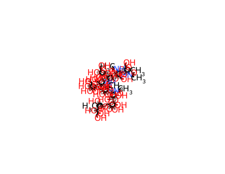 CC(=O)NC1C(O)[C@H](O[C@@H]2OC(CO[C@@H]3C[C@@H](O)[C@@H](C)C([C@H](O)C(O)CO)O3)[C@H](O)[C@H](O)C2O)[C@H](CO)O[C@H]1OC1[C@@H](OCC2O[C@@H](O[C@@H]3C(CO)O[C@@H](O[C@@H]4C(CO)O[C@@H](C)C(NC(C)=O)[C@H]4O)C(NC(C)=O)[C@H]3O)C(O)[C@@H](O[C@H]3OC(CO)[C@@H](O)C(O)C3O[C@@H]3OC(CO)[C@@H](O[C@@H]4OC(CO)[C@H](O)[C@H](O)C4O)[C@H](O)C3NC(C)=O)[C@@H]2O)OC(CO)[C@@H](O)[C@@H]1O